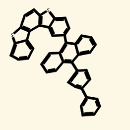 c1ccc(-c2ccc(-c3c4ccccc4c(-c4ccc5sc6ccc7sc8ccccc8c7c6c5c4)c4ccccc34)cc2)cc1